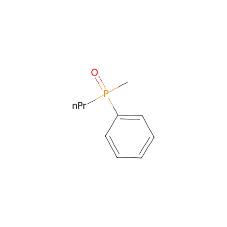 CCCP(C)(=O)c1ccccc1